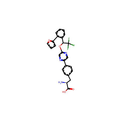 N[C@@H](Cc1ccc(-c2cnc(OC(c3ccccc3-c3ccco3)C(F)(F)F)cn2)cc1)C(=O)O